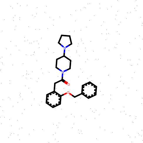 O=C(Cc1ccccc1OCc1ccccc1)N1CCC(N2CCCC2)CC1